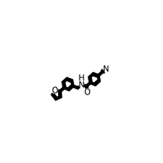 N#Cc1ccc(C(=O)NCc2cccc(-c3ccco3)c2)cc1